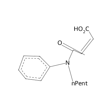 CCCCCN(C(=O)/C=C\C(=O)O)c1ccccc1